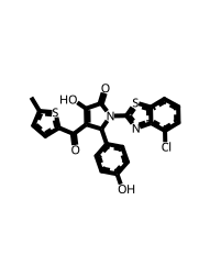 Cc1ccc(C(=O)C2=C(O)C(=O)N(c3nc4c(Cl)cccc4s3)C2c2ccc(O)cc2)s1